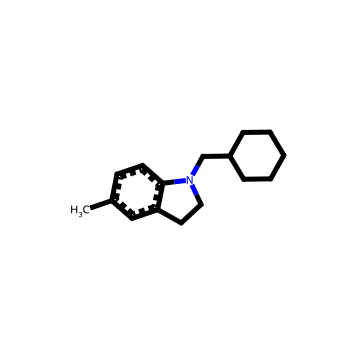 Cc1ccc2c(c1)CCN2CC1CCCCC1